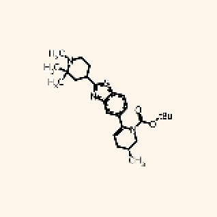 C[C@H]1CC=C(c2ccc3sc(C4CCN(C)C(C)(C)C4)nc3c2)N(C(=O)OC(C)(C)C)C1